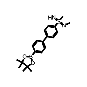 CN=S(C)(=N)c1ccc(-c2ccc(B3OC(C)(C)C(C)(C)O3)cc2)cc1